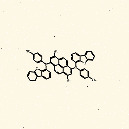 CC(C)c1cc(N(c2ccc(C#N)cc2)c2cccc3c4c(oc23)C=CCC4)c2ccc3c(C(C)C)cc(N(c4ccc(C#N)cc4)c4cccc5c4oc4ccccc45)c4ccc1c2c34